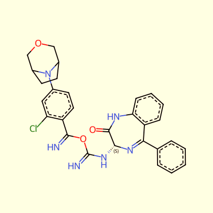 N=C(N[C@H]1N=C(c2ccccc2)c2ccccc2NC1=O)OC(=N)c1ccc(N2C3CCC2COC3)cc1Cl